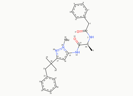 C[C@H](NC(=O)Cc1ccccc1)C(=O)Nc1cc(C(C)(C)Cc2ccccc2)nn1C(C)(C)C